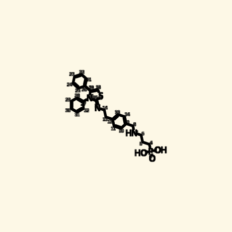 O=P(O)(O)CCCNCc1ccc(CC/N=c2\scc(-c3ccccc3)n2-c2ccccc2)cc1